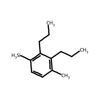 CCCc1c(C)ccc([SiH3])c1CCC